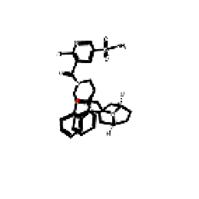 Cc1nc2ccccc2n1C1C[C@H]2CC[C@@H](C1)N2CCC1(c2ccccc2)CCN(C(=O)c2cc(S(N)(=O)=O)cnc2Cl)CC1